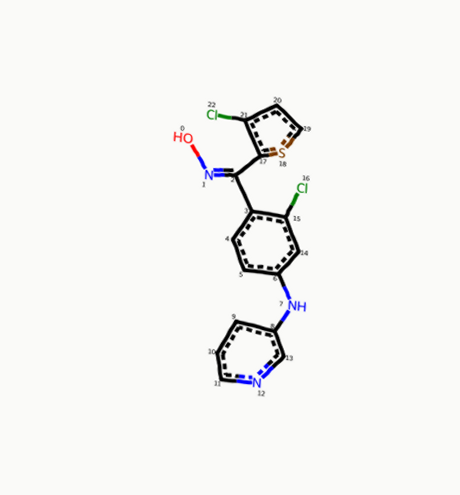 ON=C(c1ccc(Nc2cccnc2)cc1Cl)c1sccc1Cl